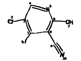 Cc1c(Cl)cnc(O)c1C#N